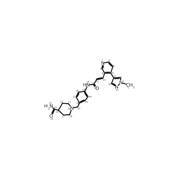 Cn1cc(-c2ccncc2C=CC(=O)Nc2ccc(CN3CCC(C(N)=O)CC3)cc2)cn1